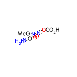 COCCN(CC(=O)N1CCC(OCC(=O)O)CC1)C(=O)c1ccc(C=NN)cc1